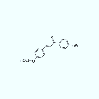 CCCCCCCCOc1ccc(C=CC(=S)c2ccc(CCC)cc2)cc1